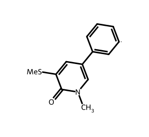 CSc1cc(-c2c[c]ccc2)cn(C)c1=O